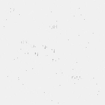 COc1ccc(COc2nc(C3=CC(O)CC3)nc3c2CCN3C(=O)OC(C)(C)C)cc1